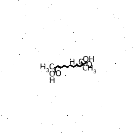 CC(/C=C/CCCCCCC(C)(C)C(=O)O)C(=O)O